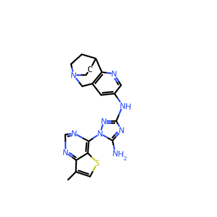 Cc1csc2c(-n3nc(Nc4cnc5c(c4)CN4CCC5CC4)nc3N)ncnc12